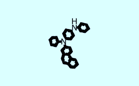 c1ccc(Nc2ccc(N(c3ccccc3)c3ccc4c(ccc5ccccc54)c3)cc2)cc1